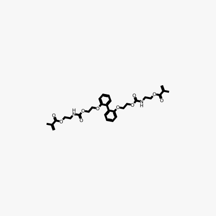 C=C(C)C(=O)OCCNC(=O)OCCOc1ccccc1-c1ccccc1OCCOC(=O)NCCOC(=O)C(=C)C